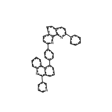 c1ccc(-c2ccc3ccc4ccc(-c5ccc(-c6cccc7c(-c8cccnc8)nc8ccccc8c67)cc5)nc4c3n2)cc1